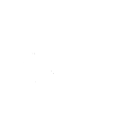 CC(C)(C)OC1OC1N1CCc2cc(CBr)ccc2C1